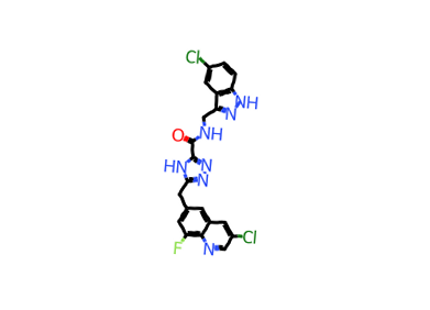 O=C(NCc1n[nH]c2ccc(Cl)cc12)c1nnc(Cc2cc(F)c3ncc(Cl)cc3c2)[nH]1